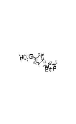 CCN(CCc1ccc(C(=O)O)cc1)CC(C)F